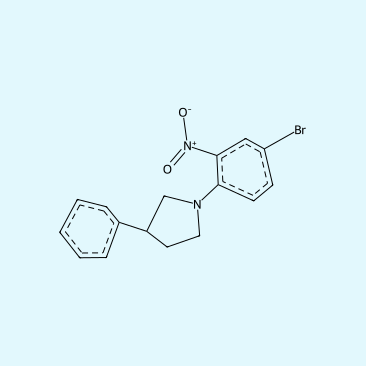 O=[N+]([O-])c1cc(Br)ccc1N1CCC(c2ccccc2)C1